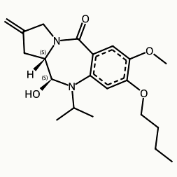 C=C1C[C@H]2[C@H](O)N(C(C)C)c3cc(OCCCC)c(OC)cc3C(=O)N2C1